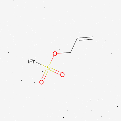 C=CCOS(=O)(=O)C(C)C